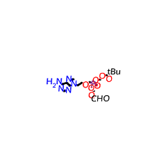 CC(C)(C)C(=O)OCOP(=O)(COCCN1C=NC2C(N)=NC=NC21)OCOC=O